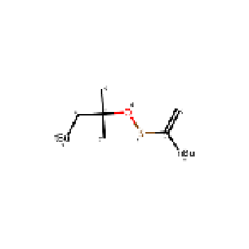 C=C(CCCC)SOC(C)(C)CC(C)(C)C